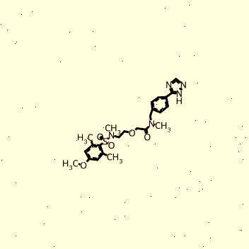 COc1cc(C)c(S(=O)(=O)N(C)CCOCC(=O)N(C)Cc2ccc(-c3ncn[nH]3)cc2)c(C)c1